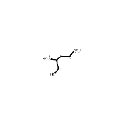 O=S(=O)(O)CCC(CS)S(=O)(=O)O